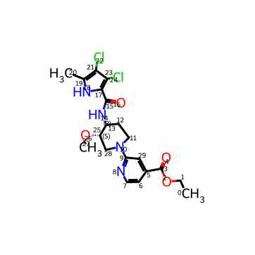 CCOC(=O)c1ccnc(N2CC[C@@H](NC(=O)c3[nH]c(C)c(Cl)c3Cl)[C@@H](OC)C2)c1